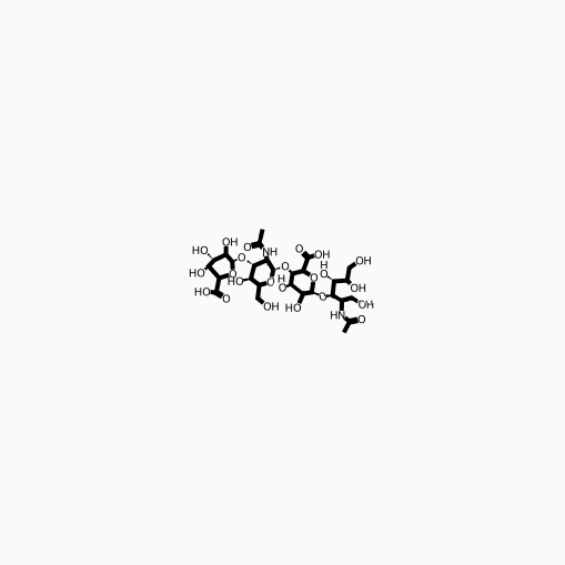 CC(=O)NC(CO)[C@@H](O[C@@H]1OC(C(=O)O)[C@H](O[C@@H]2OC(CO)[C@@H](O)[C@H](O[C@@H]3OC(C(=O)O)[C@@H](O)[C@H](O)C3O)C2NC(C)=O)[C@H](O)C1O)[C@H](O)C(O)CO